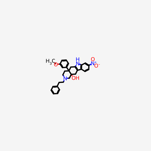 COc1cccc(C23CCN(CCc4ccccc4)CC2(O)Cc2c([nH]c4cc([N+](=O)[O-])ccc24)C3)c1